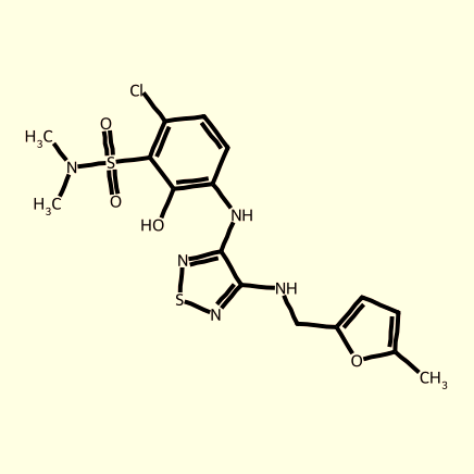 Cc1ccc(CNc2nsnc2Nc2ccc(Cl)c(S(=O)(=O)N(C)C)c2O)o1